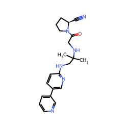 CC(C)(CNc1ccc(-c2cccnc2)cn1)NCC(=O)N1CCC[C@H]1C#N